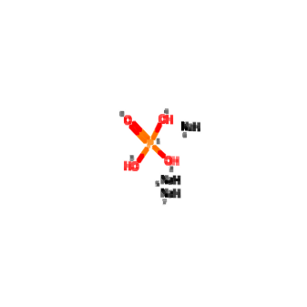 O=P(O)(O)O.[NaH].[NaH].[NaH]